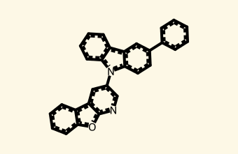 c1ccc(-c2ccc3c(c2)c2ccccc2n3-c2cnc3oc4ccccc4c3c2)cc1